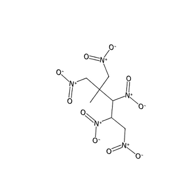 CC(C[N+](=O)[O-])(C[N+](=O)[O-])C(C(C[N+](=O)[O-])[N+](=O)[O-])[N+](=O)[O-]